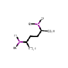 CCI(CC)C(CCC(C(=O)O)I(CC)CC)C(=O)O